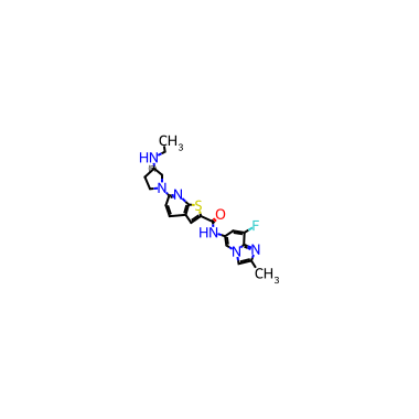 CCN[C@@H]1CCN(c2ccc3cc(C(=O)Nc4cc(F)c5nc(C)cn5c4)sc3n2)C1